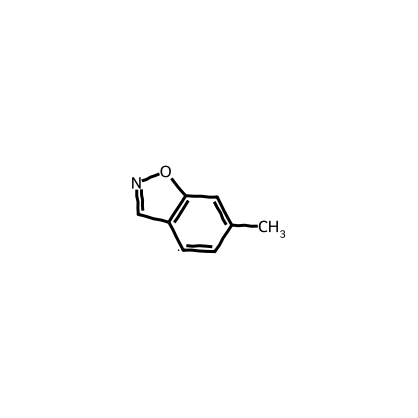 Cc1c[c]c2cnoc2c1